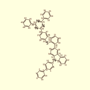 c1ccc(-c2ccc(-n3c4ccccc4c4cc(-c5cccc6c5sc5ccc(-c7nc(-c8ccccc8)nc(-c8ccccc8)n7)cc56)ccc43)cc2)cc1